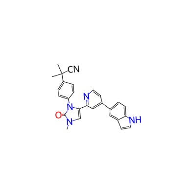 Cn1cc(-c2cc(-c3ccc4[nH]ccc4c3)ccn2)n(-c2ccc(C(C)(C)C#N)cc2)c1=O